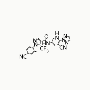 Cc1cc(C#N)ccc1-n1ncc(C(=O)NC2=CC(C#N)=C(n3nccn3)NC2)c1C(F)(F)F